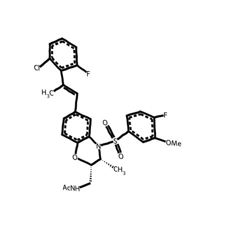 COc1cc(S(=O)(=O)N2c3cc(/C=C(\C)c4c(F)cccc4Cl)ccc3O[C@@H](CNC(C)=O)[C@H]2C)ccc1F